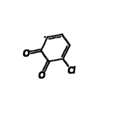 O=C1[C]=CC=C(Cl)C1=O